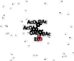 CCC(=O)OCc1cc(C(C)(CCc2cc(C)c(OC(C)=O)c(COC(C)=O)c2)c2cc(C)c(OC(C)=O)c(COC(C)=O)c2)cc(C)c1OC(C)=O